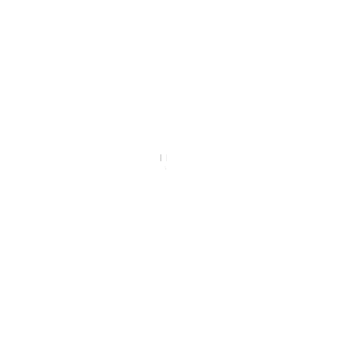 [K+].c1ccc([BH-](c2ccccc2)c2ccccc2)cc1